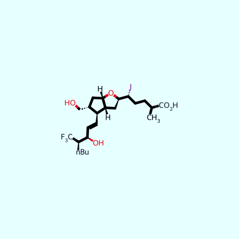 CCCC[C@H]([C@H](O)/C=C/[C@H]1[C@H](CO)C[C@@H]2O[C@@H]([C@H](I)CCC(C)C(=O)O)C[C@H]12)C(F)(F)F